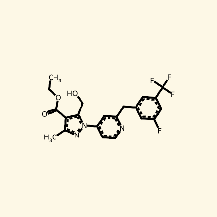 CCOC(=O)c1c(C)nn(-c2ccnc(Cc3cc(F)cc(C(F)(F)F)c3)c2)c1CO